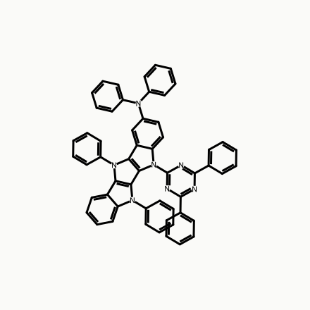 c1ccc(-c2nc(-c3ccccc3)nc(-n3c4ccc(N(c5ccccc5)c5ccccc5)cc4c4c3c3c(c5ccccc5n3-c3ccccc3)n4-c3ccccc3)n2)cc1